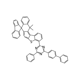 CC1(C)c2ccccc2C2(c3ccccc3-c3ccccc32)c2ccc3sc4c(-c5nc(-c6ccccc6)nc(-c6ccc(-c7ccccc7)cc6)n5)cccc4c3c21